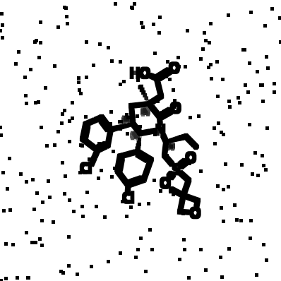 CC[C@@H](CS(=O)(=O)CC1(C)COC1)N1C(=O)[C@](C)(CC(=O)O)C[C@H](c2cccc(Cl)c2)[C@H]1c1ccc(Cl)cc1